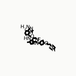 Cc1ccc2c(Nc3ccc(OCCN4CCN(C)CC4)cc3F)nccc2c1NC(=O)c1cccc2c(N)ncnc12